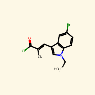 N#C/C(=C\c1cn(CC(=O)O)c2ccc(Br)cc12)C(=O)Cl